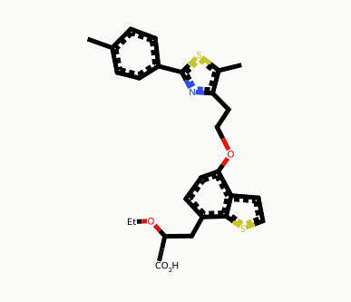 CCOC(Cc1ccc(OCCc2nc(-c3ccc(C)cc3)sc2C)c2ccsc12)C(=O)O